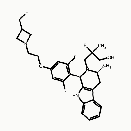 C[C@@H]1Cc2c([nH]c3ccccc23)[C@@H](c2c(F)cc(OCCN3CC(CF)C3)cc2F)N1CC(C)(F)CO